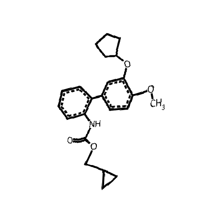 COc1ccc(-c2ccccc2NC(=O)OCC2CC2)cc1OC1CCCC1